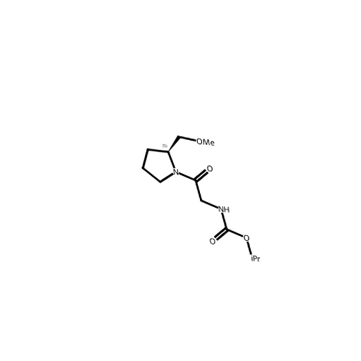 COC[C@@H]1CCCN1C(=O)CNC(=O)OC(C)C